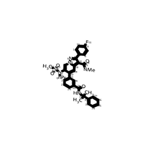 CCCN(c1cn2nc(-c3ccc(F)cc3)c(C(=O)NC)c2cc1-c1cccc(C(=O)NC(C)(C)c2ccccc2)c1)S(C)(=O)=O